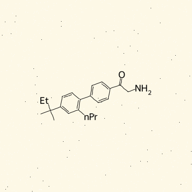 CCCc1cc(C(C)(C)CC)ccc1-c1ccc(C(=O)CN)cc1